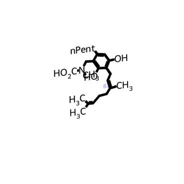 CCCCCc1cc(O)c(C/C=C(\C)CCC=C(C)C)c(O)c1CN(C)C(=O)O